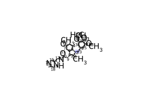 COc1ccc2c(c1)C(CC(=O)NCc1cnccn1)=C(C)/C2=C/c1cc(OC)c(OC)c(OC)c1